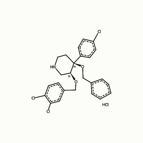 Cl.Clc1ccc([C@@]2(OCc3ccccc3)CCNC[C@@H]2OCc2ccc(Cl)c(Cl)c2)cc1